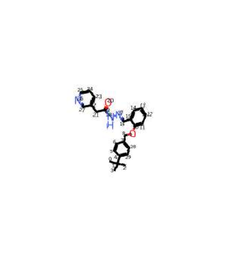 CC(C)(C)c1ccc(COc2ccccc2C=NNC(=O)Cc2cccnc2)cc1